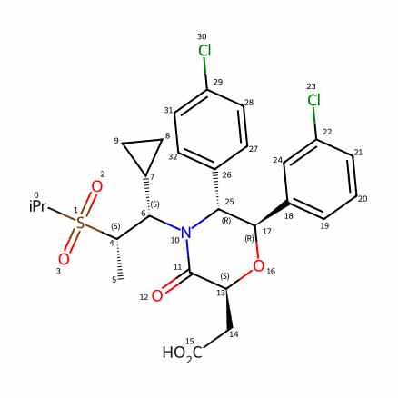 CC(C)S(=O)(=O)[C@@H](C)[C@H](C1CC1)N1C(=O)[C@H](CC(=O)O)O[C@H](c2cccc(Cl)c2)[C@H]1c1ccc(Cl)cc1